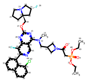 CCOP(=O)(CC(=O)N1CC(CN(C)c2nc(OC[C@@]34CCCN3C[C@H](F)C4)nc3c(F)c(-c4cccc5cccc(Cl)c45)ncc23)C1)OCC